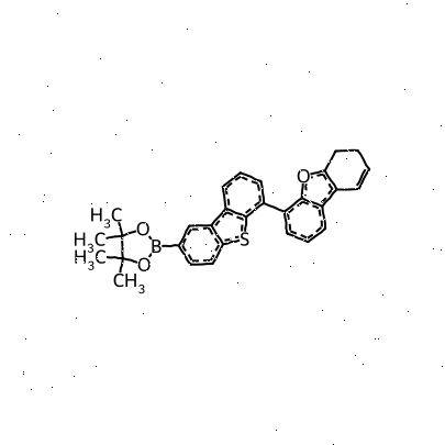 CC1(C)OB(c2ccc3sc4c(-c5cccc6c7c(oc56)CCC=C7)cccc4c3c2)OC1(C)C